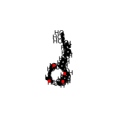 C=C1C[C@@H]2CC[C@@]34C[C@H]5O[C@H]6[C@@H](O3)[C@H]3O[C@H](CC[C@@H]3O[C@@]6(O)[C@H]5O4)CC(=O)O[C@@H]3[C@@H](C)[C@@H]4O[C@@H]5C[C@]6(C[C@@H]7O[C@]8(C[C@H](C)[C@@H]9O[C@H]([C@@H](O)C[C@@H](O)CO)C[C@@H]9O8)C[C@H](C)[C@@H]7O6)O[C@@H]5C[C@@H]4O[C@H]3C[C@H]3O[C@@H](CC[C@@H]1O2)C[C@@H](C)C3=C